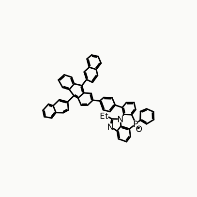 CCc1nc2cccc3c2n1-c1c(-c2ccc(-c4ccc5c(-c6ccc7ccccc7c6)c6ccccc6c(-c6ccc7ccccc7c6)c5c4)cc2)cccc1P3(=O)c1ccccc1